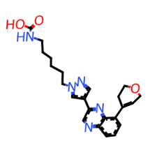 O=C(O)NCCCCCCn1cc(-c2cnc3cccc(C4=CCOCC4)c3n2)cn1